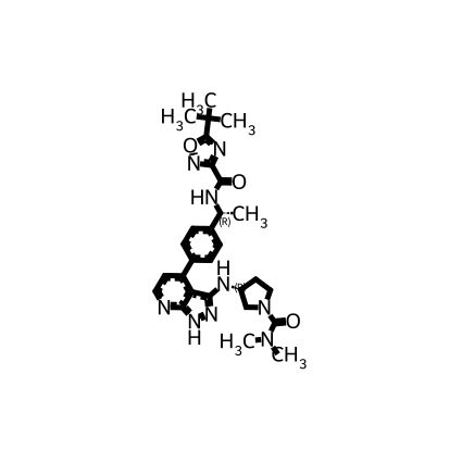 C[C@@H](NC(=O)c1noc(C(C)(C)C)n1)c1ccc(-c2ccnc3[nH]nc(N[C@@H]4CCN(C(=O)N(C)C)C4)c23)cc1